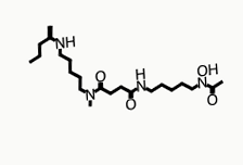 C=C(CCC)NCCCCCN(C)C(=O)CCC(=O)NCCCCCN(O)C(C)=O